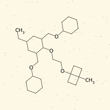 CCC1CC(COC2CCCCC2)C(OCCOC23CCC2(C)CC3)C(COC2CCCCC2)C1